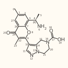 Cc1cc([C@@H](C)N)c2oc(-c3cnn4c3CN(C(=O)O)CC4)c(C)c(=O)c2c1